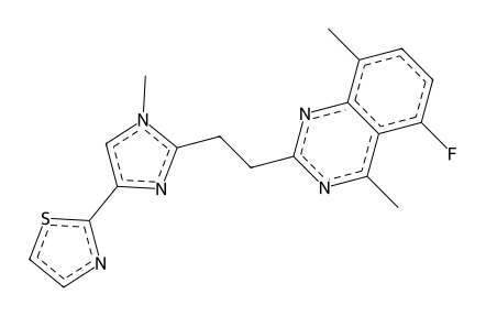 Cc1ccc(F)c2c(C)nc(CCc3nc(-c4nccs4)cn3C)nc12